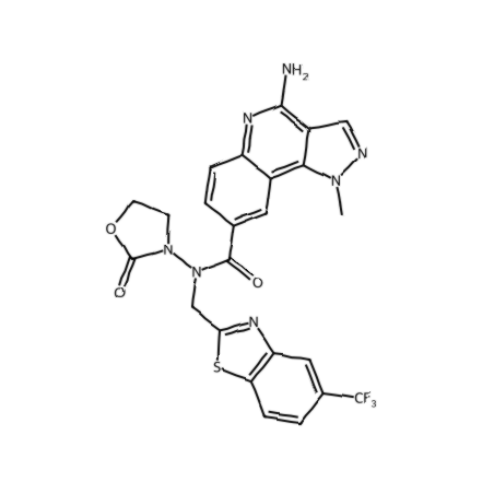 Cn1ncc2c(N)nc3ccc(C(=O)N(Cc4nc5cc(C(F)(F)F)ccc5s4)N4CCOC4=O)cc3c21